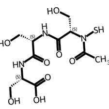 CC(=O)N(S)[C@@H](CO)C(=O)N[C@@H](CO)C(=O)N[C@@H](CO)C(=O)O